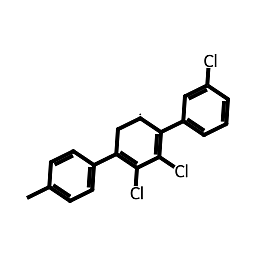 Cc1ccc(C2=C(Cl)C(Cl)=C(c3cccc(Cl)c3)[CH]C2)cc1